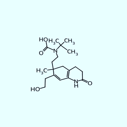 CC1(CCN(C(=O)O)C(C)(C)C)CC2=C(C=C1CCO)NC(=O)CC2